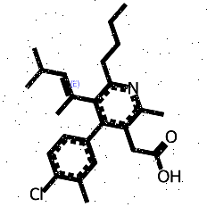 CCCCc1nc(C)c(CC(=O)O)c(-c2ccc(Cl)c(C)c2)c1/C(C)=C/C(C)C